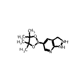 CC1(C)OB(c2cnc3c(c2)CNN3)OC1(C)C